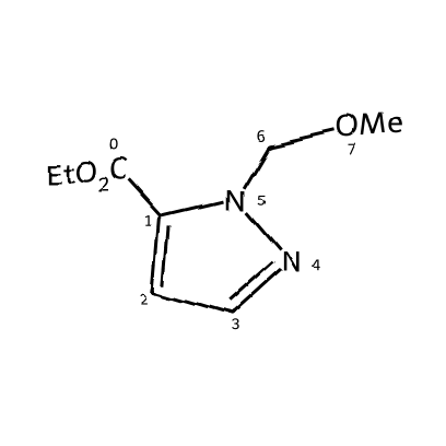 CCOC(=O)c1ccnn1COC